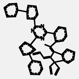 C=C/C=C1\C(=C(/C)c2ccccc2-c2nc(-c3cccc(-c4ccccc4)c3)nc(-c3cccc(-c4ccccc4)c3)n2)c2ccccc2C1(C=C)C=C